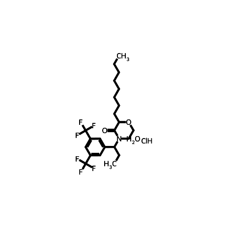 CCCCCCCCC1OCCN(C(CC)c2cc(C(F)(F)F)cc(C(F)(F)F)c2)C1=O.Cl.O